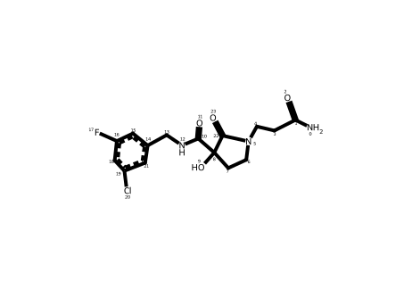 NC(=O)CCN1CCC(O)(C(=O)NCc2cc(F)cc(Cl)c2)C1=O